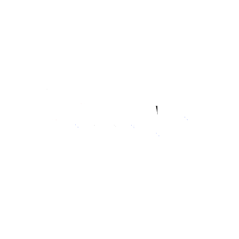 O=C1N2CCNC[C@H]2CN1C12CC(NS(=O)(=O)C3CC3)(C1)C2